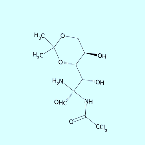 CC1(C)OC[C@@H](O)[C@H]([C@H](O)[C@@](N)(C=O)NC(=O)C(Cl)(Cl)Cl)O1